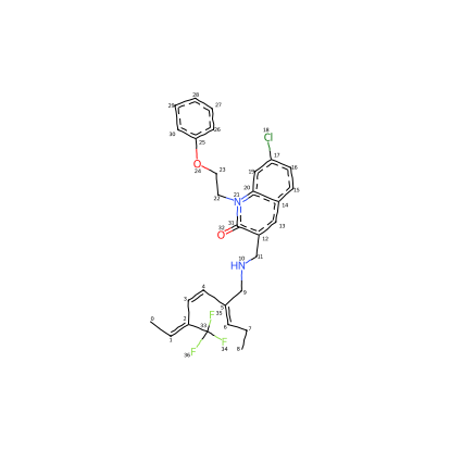 C\C=C(/C=C\C(=C\CC)CNCc1cc2ccc(Cl)cc2n(CCOc2ccccc2)c1=O)C(F)(F)F